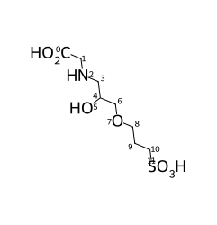 O=C(O)CNCC(O)COCCCS(=O)(=O)O